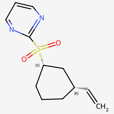 C=C[C@@H]1CCC[C@H](S(=O)(=O)c2ncccn2)C1